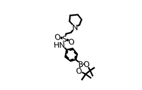 CC1(C)OB(c2ccc(NS(=O)(=O)CCN3CCCCC3)cc2)OC1(C)C